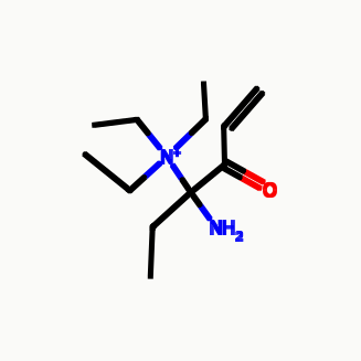 C=CC(=O)C(N)(CC)[N+](CC)(CC)CC